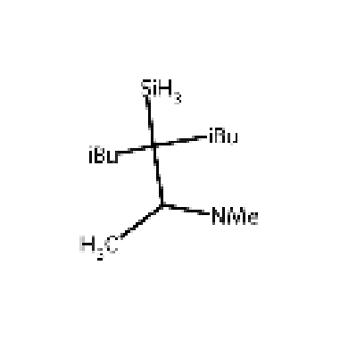 CCC(C)C([SiH3])(C(C)CC)C(C)NC